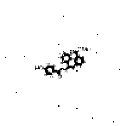 COC(=O)c1cccc(CC(CCC(=O)c2ccc(O)cc2)c2ccccc2)c1